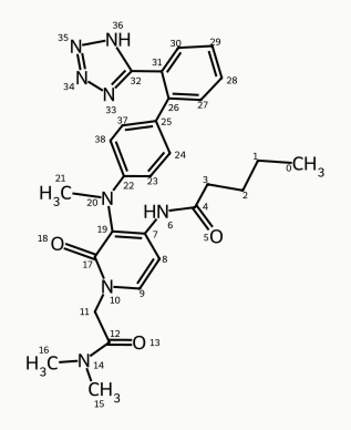 CCCCC(=O)Nc1ccn(CC(=O)N(C)C)c(=O)c1N(C)c1ccc(-c2ccccc2-c2nnn[nH]2)cc1